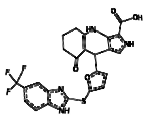 O=C1CCCC2=C1C(c1ccc(Sc3nc4cc(C(F)(F)F)ccc4[nH]3)o1)c1c[nH]c(C(=O)O)c1N2